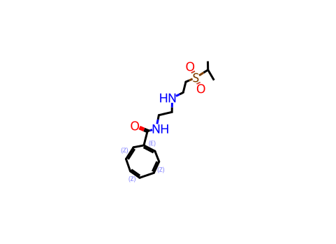 CC(C)S(=O)(=O)CCNCCNC(=O)C1=C/C=C\C=C/C=C\1